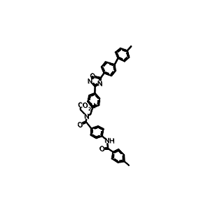 Cc1ccc(C(=O)Nc2ccc(C(=O)N(CC(=O)O)Cc3ccc(-c4noc(-c5ccc(-c6ccc(C)cc6)cc5)n4)cc3)cc2)cc1